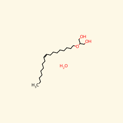 CCCCCCCC/C=C\CCCCCCCCOC(CO)CO.O